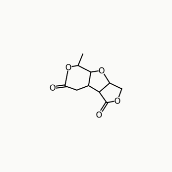 CC1OC(=O)CC2C1OC1COC(=O)C12